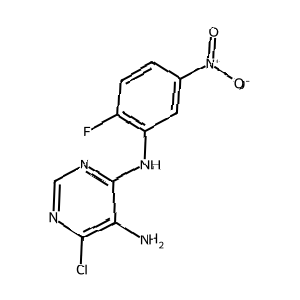 Nc1c(Cl)ncnc1Nc1cc([N+](=O)[O-])ccc1F